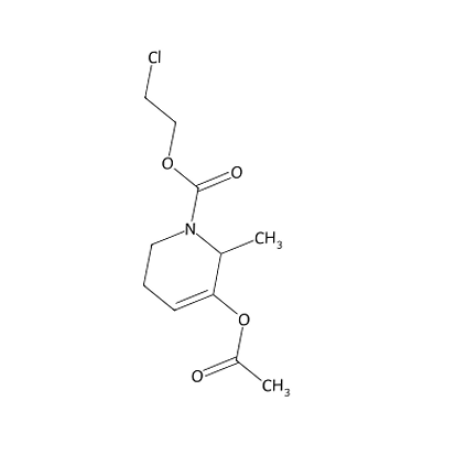 CC(=O)OC1=CCCN(C(=O)OCCCl)C1C